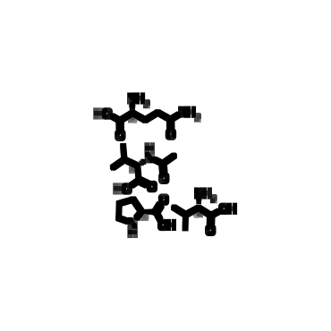 CC(=O)N[C@H](C(=O)O)C(C)C.CC(C)[C@H](N)C(=O)O.NC(=O)CC[C@H](N)C(=O)O.O=C(O)[C@@H]1CCCN1